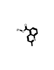 Cc1ccc2c(C(=O)OC(C)C)cccc2n1